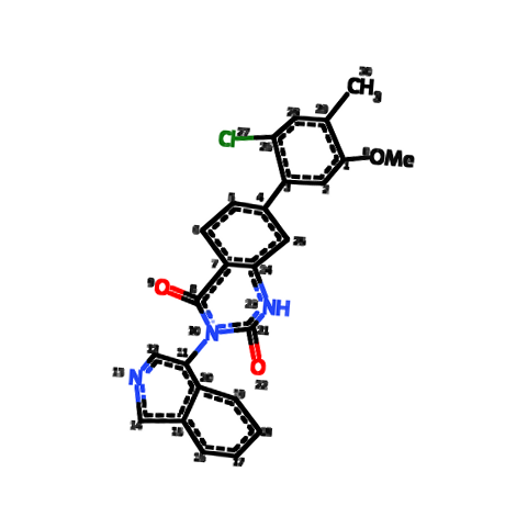 COc1cc(-c2ccc3c(=O)n(-c4cncc5ccccc45)c(=O)[nH]c3c2)c(Cl)cc1C